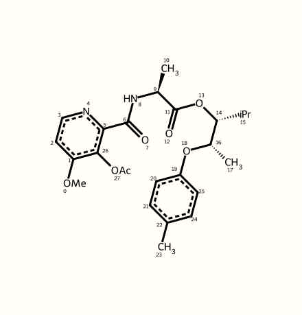 COc1ccnc(C(=O)N[C@@H](C)C(=O)O[C@H](C(C)C)[C@H](C)Oc2ccc(C)cc2)c1OC(C)=O